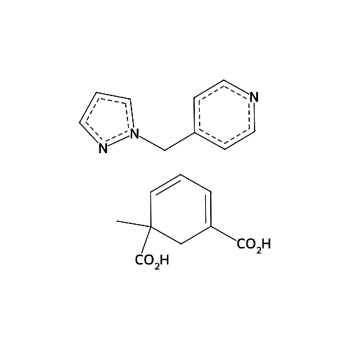 CC1(C(=O)O)C=CC=C(C(=O)O)C1.c1cnn(Cc2ccncc2)c1